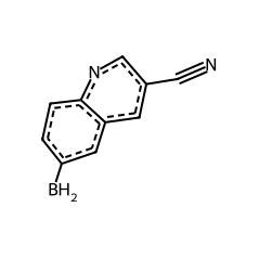 Bc1ccc2ncc(C#N)cc2c1